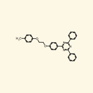 Cc1ccc(OCCOc2ccc(-c3nc(-c4ccccc4)nc(-c4ccccc4)n3)cc2)cc1